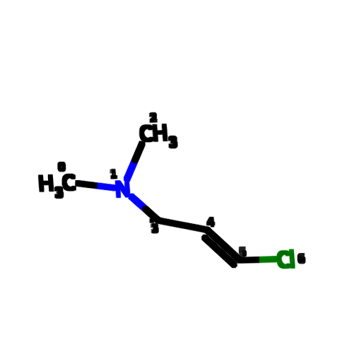 CN(C)[CH]/C=C/Cl